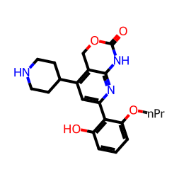 CCCOc1cccc(O)c1-c1cc(C2CCNCC2)c2c(n1)NC(=O)OC2